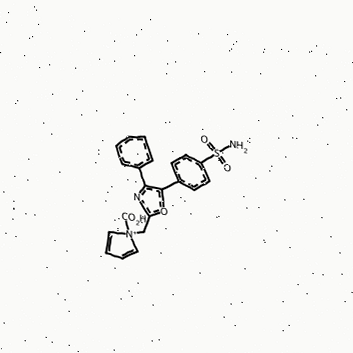 NS(=O)(=O)c1ccc(-c2oc(C[N+]3(C(=O)O)C=CC=C3)nc2-c2ccccc2)cc1